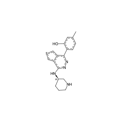 Cc1ccc(-c2nnc(N[C@@H]3CCCNC3)c3cscc23)c(O)c1